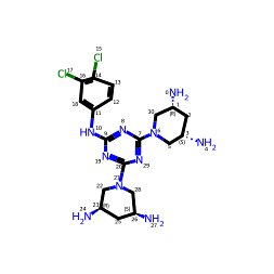 N[C@@H]1C[C@H](N)CN(c2nc(Nc3ccc(Cl)c(Cl)c3)nc(N3C[C@H](N)C[C@H](N)C3)n2)C1